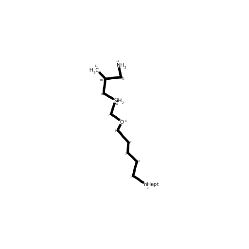 CCCCCCCCCCCCOC[SiH2]CC(C)CN